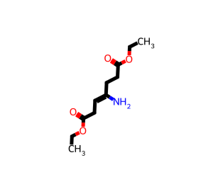 CCOC(=O)CC=C(N)CCC(=O)OCC